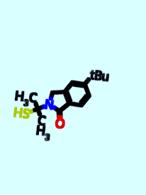 CC(C)(C)c1ccc2c(c1)CN(C(C)(C)S)C2=O